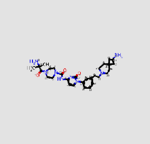 CC(C)(N)C(=O)N1CCN(C(=O)Nc2ccn(-c3cccc(CCN4CCC5(CC4)CC(N)C5)c3)c(=O)n2)CC1